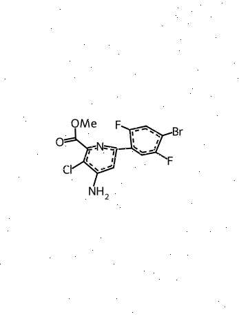 COC(=O)c1nc(-c2cc(F)c(Br)cc2F)cc(N)c1Cl